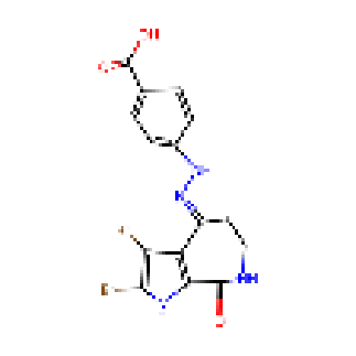 O=C(O)c1ccc(N/N=C2\CCNC(=O)c3[nH]c(Br)c(Br)c32)cc1